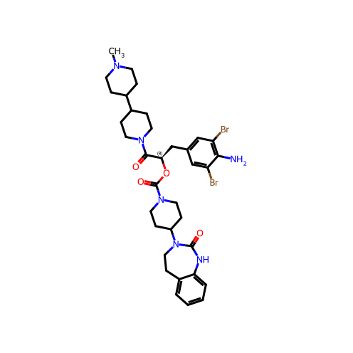 CN1CCC(C2CCN(C(=O)[C@@H](Cc3cc(Br)c(N)c(Br)c3)OC(=O)N3CCC(N4CCc5ccccc5NC4=O)CC3)CC2)CC1